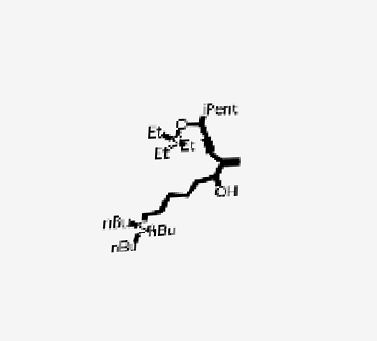 C=C(C#CC(O[Si](CC)(CC)CC)C(C)CCC)C(O)CCCC[CH2][Sn]([CH2]CCC)([CH2]CCC)[CH2]CCC